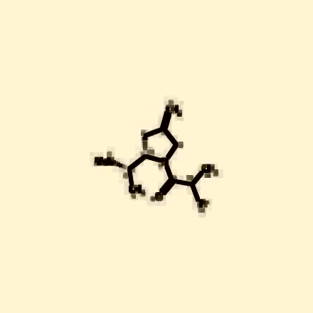 C=C1C[C@@H]([C@H](C)NC)N(C(=O)C(C)C(C)C)C1